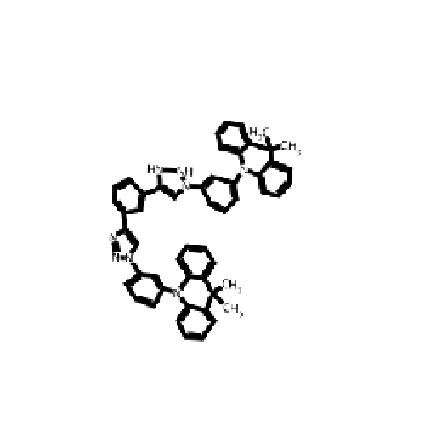 CC1(C)c2ccccc2N(c2cccc(N3C=C(c4cccc(-c5cn(-c6cccc(N7c8ccccc8C(C)(C)c8ccccc87)c6)nn5)c4)NN3)c2)c2ccccc21